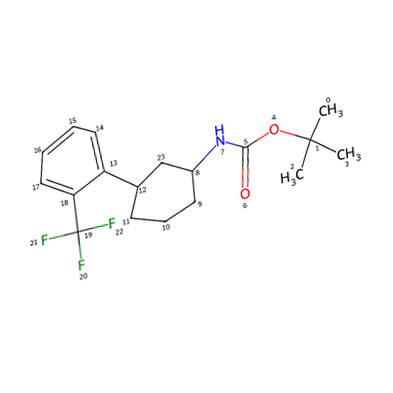 CC(C)(C)OC(=O)NC1CCCC(c2ccccc2C(F)(F)F)C1